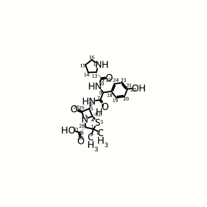 CC1(C)S[C@@H]2[C@H](NC(=O)C(NC(=O)[C@@H]3CCCN3)c3ccc(O)cc3)C(=O)N2[C@H]1C(=O)O